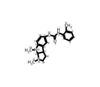 Cc1ccccc1NC(=O)Oc1ccc2c(c1)C1CCN(C)C1N2C